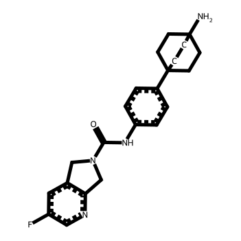 NC12CCC(c3ccc(NC(=O)N4Cc5cc(F)cnc5C4)cc3)(CC1)CC2